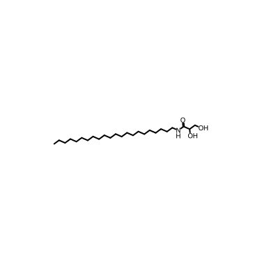 CCCCCCCCCCCCCCCCCCCCCCNC(=O)C(O)CO